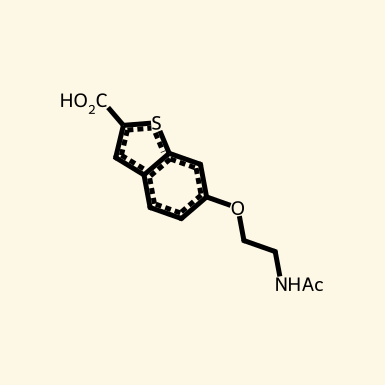 CC(=O)NCCOc1ccc2cc(C(=O)O)sc2c1